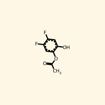 CC(=O)Oc1cc(F)c(F)cc1O